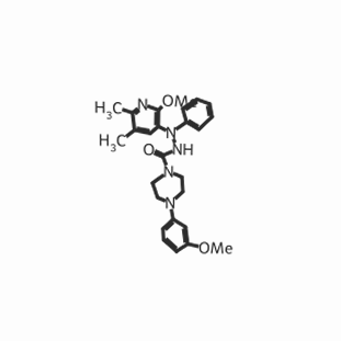 COc1cccc(N2CCN(C(=O)NN(c3ccccc3)c3cc(C)c(C)nc3OC)CC2)c1